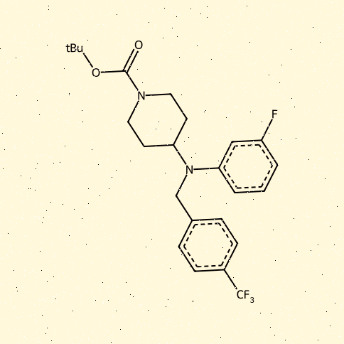 CC(C)(C)OC(=O)N1CCC(N(Cc2ccc(C(F)(F)F)cc2)c2cccc(F)c2)CC1